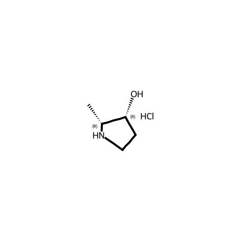 C[C@H]1NCC[C@H]1O.Cl